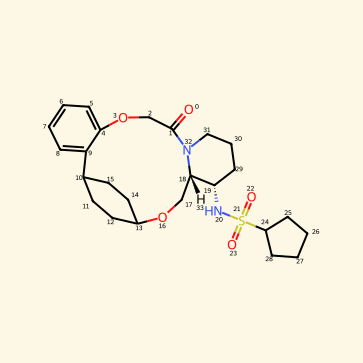 O=C1COc2ccccc2C2CCC(CC2)OC[C@H]2[C@@H](NS(=O)(=O)C3CCCC3)CCCN12